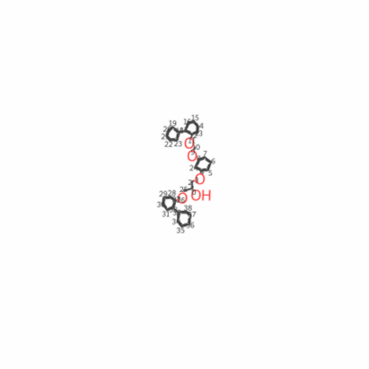 OC(COc1cccc(OCOc2ccccc2-c2ccccc2)c1)COc1ccccc1-c1ccccc1